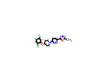 Cc1nnc(-c2ccc(N3CCC(Oc4cc(F)ccc4Cl)CC3)nn2)o1